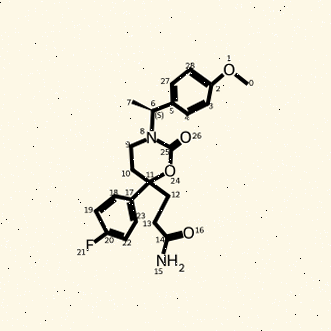 COc1ccc([C@H](C)N2CCC(CCC(N)=O)(c3ccc(F)cc3)OC2=O)cc1